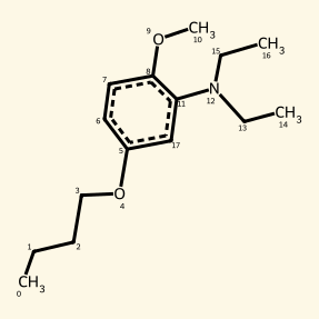 CCCCOc1ccc(OC)c(N(CC)CC)c1